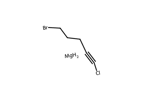 ClC#CCCCBr.[MgH2]